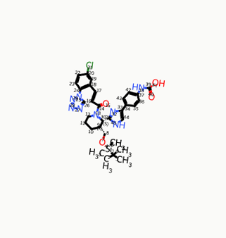 CC(C)(C)[Si](C)(C)OC[C@@H]1CCCN(C(=O)C=Cc2cc(Cl)ccc2-n2cnnn2)[C@@H]1c1nc(-c2ccc(NC(=O)O)cc2)c[nH]1